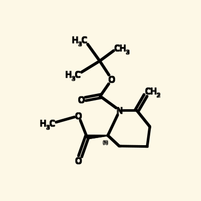 C=C1CCC[C@@H](C(=O)OC)N1C(=O)OC(C)(C)C